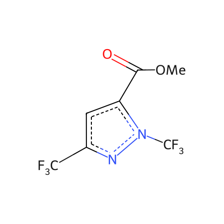 COC(=O)c1cc(C(F)(F)F)nn1C(F)(F)F